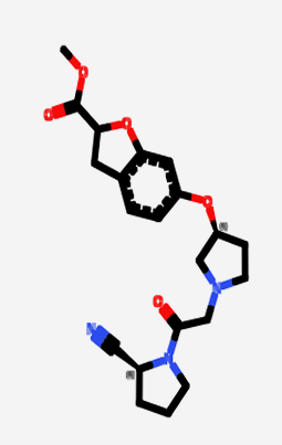 COC(=O)C1Cc2ccc(O[C@H]3CCN(CC(=O)N4CCC[C@H]4C#N)C3)cc2O1